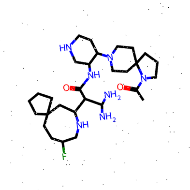 CC(=O)N1CCCC12CCN(C1CCNCC1NC(=O)C(C(N)N)C1CC3(CCCC3)CCC(F)CN1)CC2